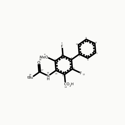 COc1c(F)c(-c2ccccc2)c(F)c(C(=O)O)c1NC(=O)C(C)(C)C